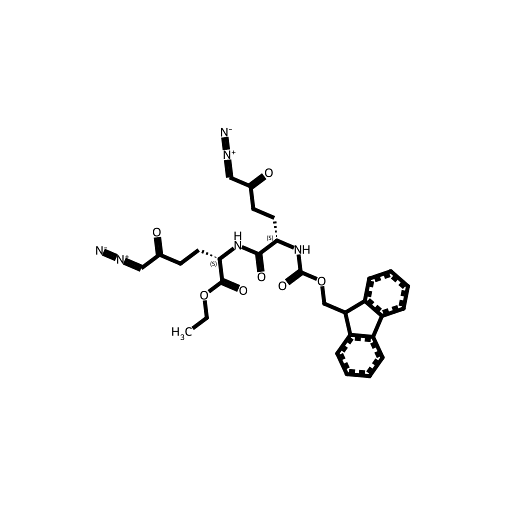 CCOC(=O)[C@H](CCC(=O)C=[N+]=[N-])NC(=O)[C@H](CCC(=O)C=[N+]=[N-])NC(=O)OCC1c2ccccc2-c2ccccc21